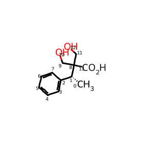 C[C@H](c1ccccc1)C(CO)(CO)C(=O)O